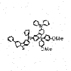 COc1ccc(S2(c3ccc(OC)cc3)c3ccc(N(c4ccccc4)c4ccccc4)cc3-c3cc(N(c4ccccc4)c4ccc5sc6ccc(-c7ccccc7)cc6c5c4)ccc32)cc1